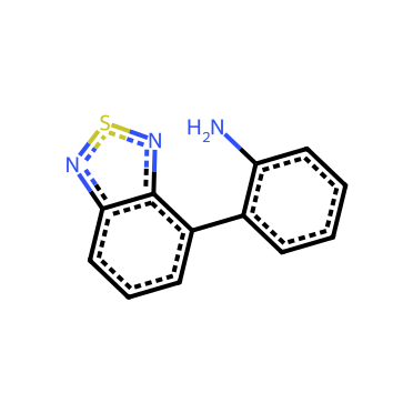 Nc1ccccc1-c1cccc2nsnc12